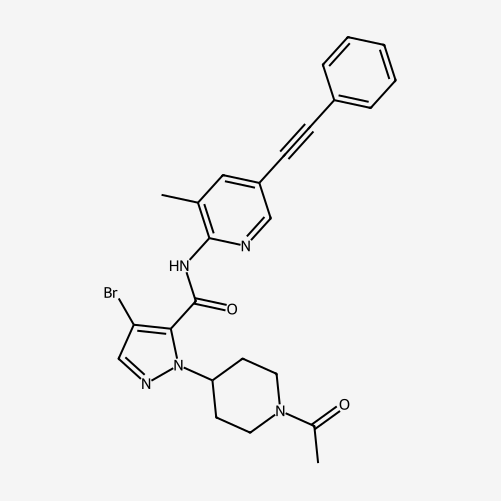 CC(=O)N1CCC(n2ncc(Br)c2C(=O)Nc2ncc(C#Cc3ccccc3)cc2C)CC1